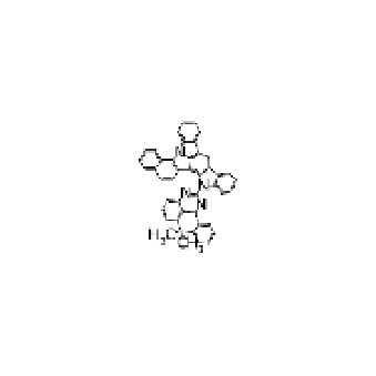 CC1(C)c2ccccc2-c2nc(-n3c4ccccc4c4cc5c6ccccc6n6c7c8ccccc8ccc7c(c43)c56)nc3cccc1c23